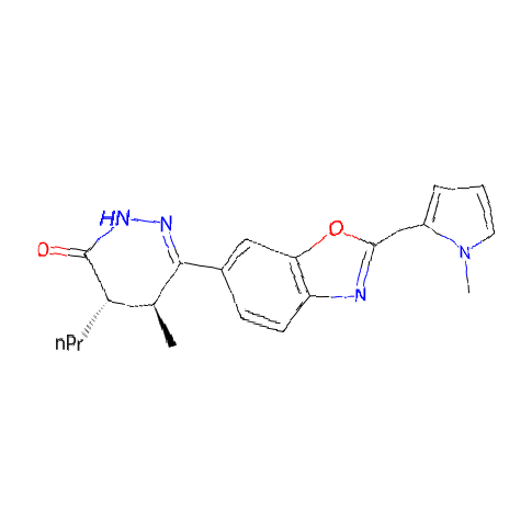 CCC[C@@H]1C(=O)NN=C(c2ccc3nc(-c4cccn4C)oc3c2)[C@H]1C